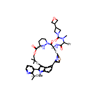 CCn1c(-c2cccnc2[C@H](C)OC)c2c3cc(ccc31)-c1csc(n1)C[C@H](NC(=O)C(C(C)C)N(C)C(=O)N1CC(C3COC3)C1)C(=O)N1CCC[C@H](N1)C(=O)OCC(C)(C)C2